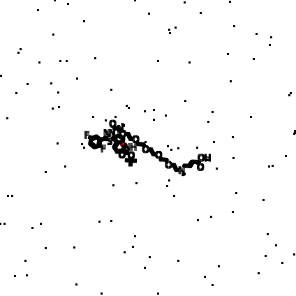 CN(C/C=C/C(=O)O)CCOCCOCCOCCOCCON(C)C(=O)N1N=C(c2cc(F)ccc2F)SC1(CCCNC(=O)OC(C)(C)C)c1ccccc1